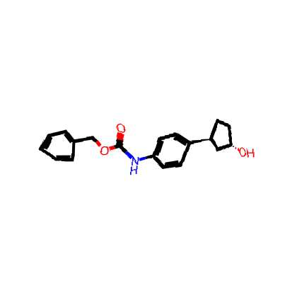 O=C(Nc1ccc([C@H]2CC[C@H](O)C2)cc1)OCc1ccccc1